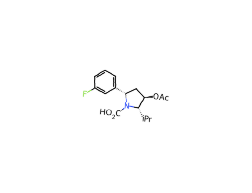 CC(=O)O[C@@H]1C[C@@H](c2cccc(F)c2)N(C(=O)O)[C@H]1C(C)C